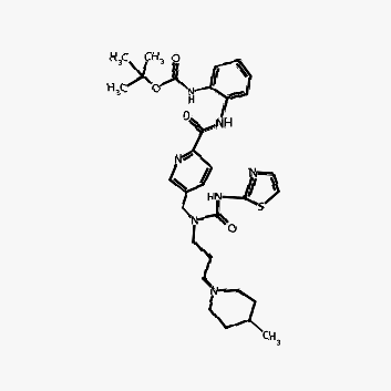 CC1CCN(CCCN(Cc2ccc(C(=O)Nc3ccccc3NC(=O)OC(C)(C)C)nc2)C(=O)Nc2nccs2)CC1